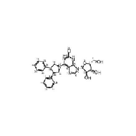 OC[C@H]1O[C@@H](n2cnc3c(N4CC(c5ccccc5)C(c5ccccc5)C4)nc(Cl)nc32)[C@H](O)[C@@H]1O